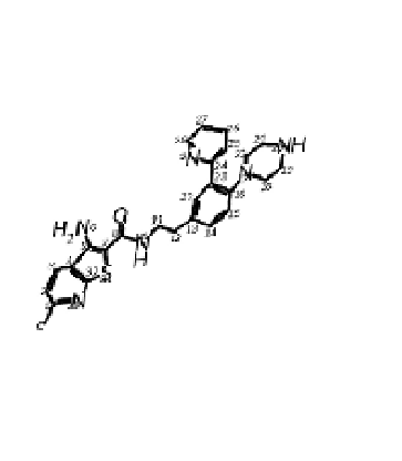 Cc1ccc2c(N)c(C(=O)NCCc3ccc(N4CCNCC4)c(-c4ccccn4)c3)sc2n1